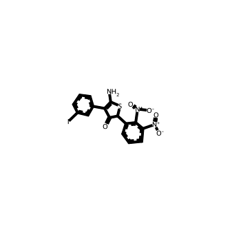 NC1=C(c2cccc(I)c2)C(=O)C(c2cccc([N+](=O)[O-])c2[N+](=O)[O-])S1